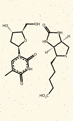 Cc1cn([C@H]2C[C@H](O)[C@@H](CO)O2)c(=O)[nH]c1=O.O=C(O)CCCC[C@@H]1SC[C@@H]2NC(=O)N[C@@H]21